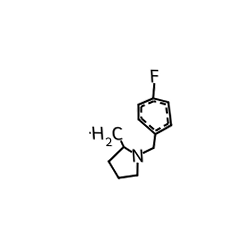 [CH2]C1CCCN1Cc1ccc(F)cc1